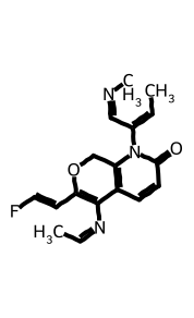 C/C=N\C1=C(/C=C/F)OCc2c1ccc(=O)n2C(/C=N\C)=C/C